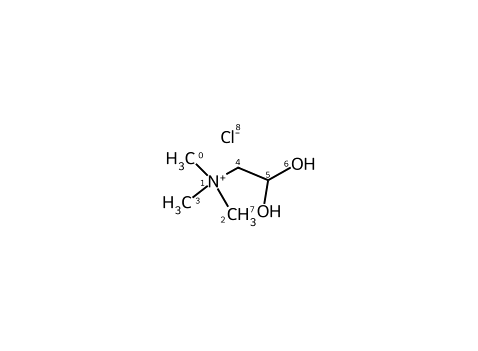 C[N+](C)(C)CC(O)O.[Cl-]